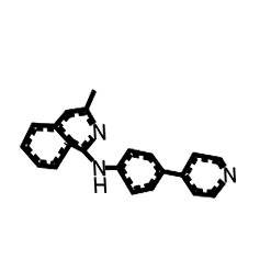 Cc1cc2ccccc2c(Nc2ccc(-c3ccncc3)cc2)n1